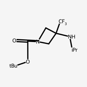 CC(C)NC1(C(F)(F)F)CN(C(=O)OC(C)(C)C)C1